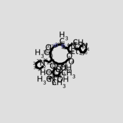 CCC1OC(=O)CC(O)C(C)C(O[C@@H]2O[C@H](C)[C@@H](O)[C@H](N(C)C)[C@H]2O)C(CCN2CCCCC2)CC(C)C(=O)/C=C\C(C)=C\C1CN(C)Cc1cccnc1